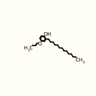 CCCCCCCCCCCCCCc1cc(OCCCC)ccc1O